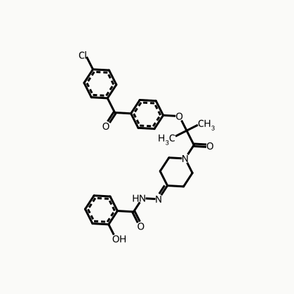 CC(C)(Oc1ccc(C(=O)c2ccc(Cl)cc2)cc1)C(=O)N1CCC(=NNC(=O)c2ccccc2O)CC1